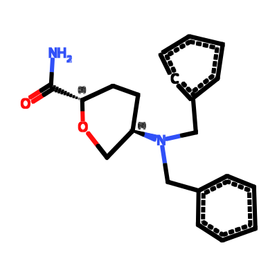 NC(=O)[C@@H]1CC[C@@H](N(Cc2ccccc2)Cc2ccccc2)CO1